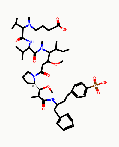 CCC(C)C(C(CC(=O)N1CCC[C@H]1C(OC)C(C)C(=O)NC(CCc1ccc(S(=O)(=O)O)cc1)Cc1ccccc1)OC)N(C)C(=O)C(NC(=O)C(C(C)C)N(C)CCCC(=O)O)C(C)C